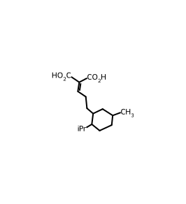 CC1CCC(C(C)C)C(CCC=C(C(=O)O)C(=O)O)C1